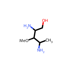 COC(C(C)N)C(N)CO